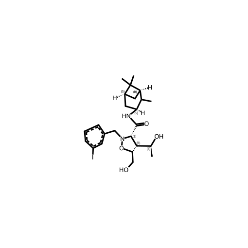 CC1[C@@H](NC(=O)[C@@H]2[C@H]([C@H](C)O)C(CO)ON2Cc2cccc(I)c2)C[C@@H]2C[C@H]1C2(C)C